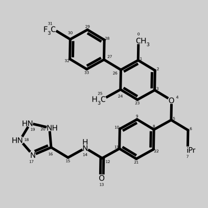 Cc1cc(OC(CC(C)C)c2ccc(C(=O)NCC3=NNNN3)cc2)cc(C)c1-c1ccc(C(F)(F)F)cc1